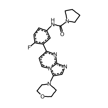 O=C(Nc1ccc(F)c(-c2ccn3c(N4CCOCC4)cnc3n2)c1)N1CCCC1